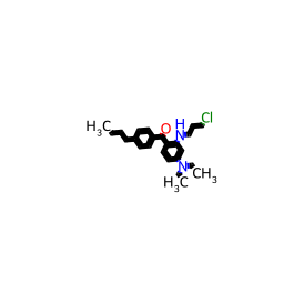 CCCCc1ccc(C(=O)c2ccc(N(CC)CC)cc2NCCCCl)cc1